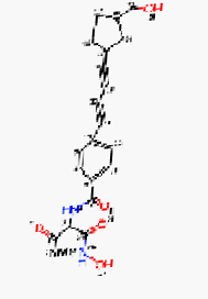 CNC(=O)C(NC(=O)c1ccc(C#CC#CC2CCC(CO)C2)cc1)C(=O)NO